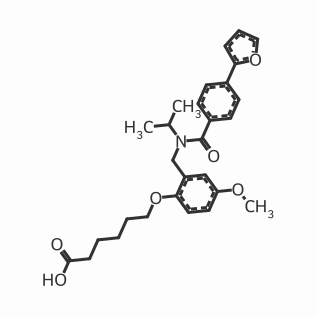 COc1ccc(OCCCCCC(=O)O)c(CN(C(=O)c2ccc(-c3ccco3)cc2)C(C)C)c1